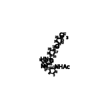 CC(=O)Nc1cccc(Cn2nc(C)c(NC(=O)c3ccc(COc4ccc(C(F)(F)F)cc4)cc3)c2C)c1